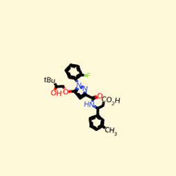 Cc1cccc(C(CC(=O)O)NC(=O)c2cc(OCC(O)C(C)(C)C)n(-c3ccccc3F)n2)c1